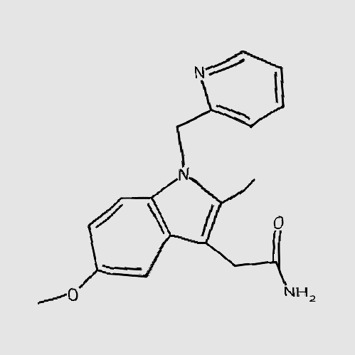 COc1ccc2c(c1)c(CC(N)=O)c(C)n2Cc1ccccn1